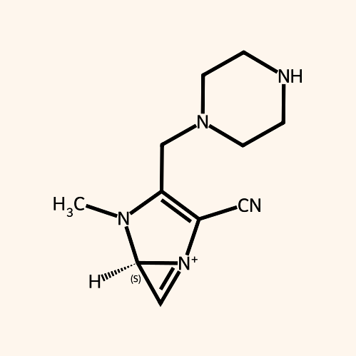 CN1C(CN2CCNCC2)=C(C#N)[N+]2=C[C@@H]12